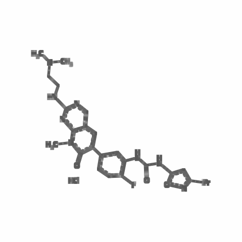 CC(C)c1cc(NC(=O)Nc2cc(-c3cc4cnc(NCCN(C)C)nc4n(C)c3=O)ccc2F)on1.Cl